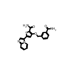 NC(=O)c1cccc(COc2cc(-c3cnc4ccccn34)sc2C(N)=O)c1